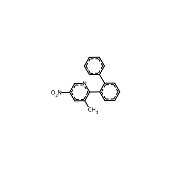 Cc1cc([N+](=O)[O-])cnc1-c1ccccc1-c1ccccc1